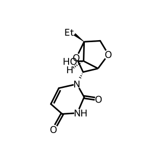 CC[C@]12COC([C@H](n3ccc(=O)[nH]c3=O)O1)[C@H]2O